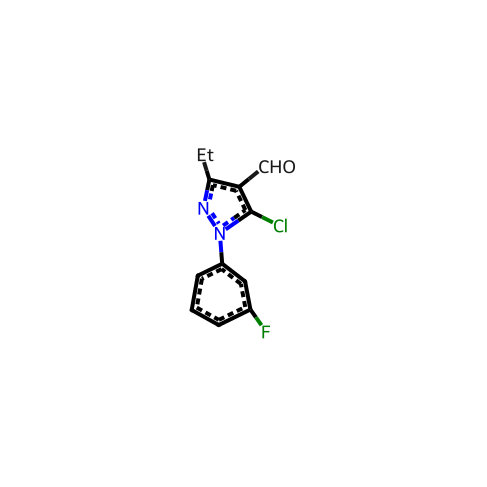 CCc1nn(-c2cccc(F)c2)c(Cl)c1C=O